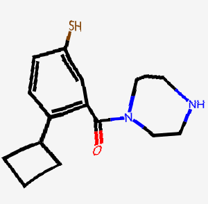 O=C(c1cc(S)ccc1C1CCC1)N1CCNCC1